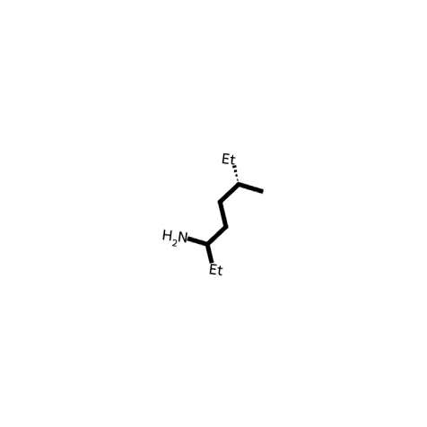 CCC(N)CC[C@@H](C)CC